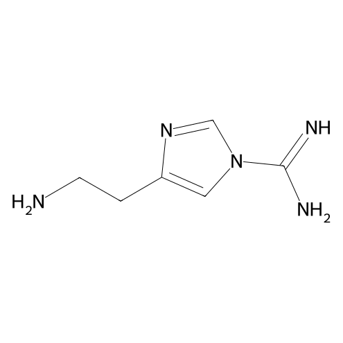 N=C(N)n1cnc(CCN)c1